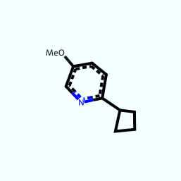 COc1ccc(C2CCC2)nc1